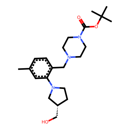 Cc1ccc(CN2CCN(C(=O)OC(C)(C)C)CC2)c(N2CC[C@H](CO)C2)c1